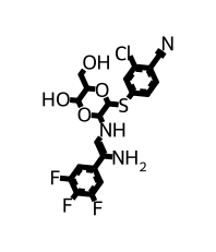 N#Cc1ccc(SC2OC(CO)C(O)OC2N/C=C(\N)c2cc(F)c(F)c(F)c2)cc1Cl